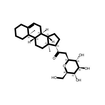 C[C@]12CC[C@H]3[C@@H](CC=C4CCCC[C@@]43C)[C@@H]1CC[C@@H]2C(=O)C[C@@H]1O[C@H](CO)[C@@H](O)[C@H](O)[C@H]1O